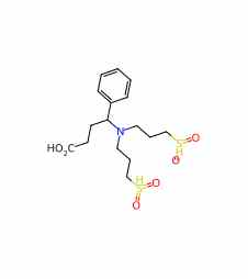 O=C(O)CCC(c1ccccc1)N(CCC[SH](=O)=O)CCC[SH](=O)=O